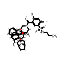 CCCNS(=O)(=O)c1cc(C(=O)N2CCC(CCN3C4CCC3CC(n3c(C)nc5ccccc53)C4)(c3cccc(F)c3)CC2)c(F)cc1F